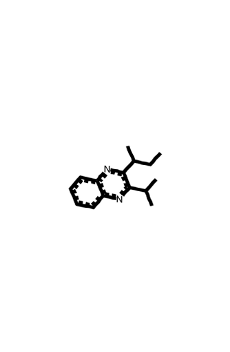 CCC(C)c1nc2ccccc2nc1C(C)C